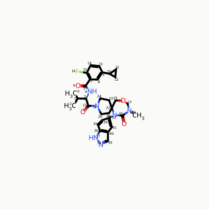 CC(C)[C@@H](NC(=O)c1cc(C2CC2)ccc1F)C(=O)N1CCC2(CC1)COCN(C)C(=O)N2c1ccc2[nH]ncc2c1